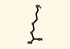 CCCCOCOB(O)O